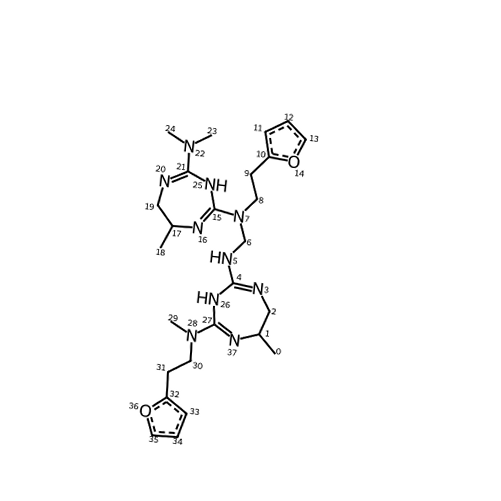 CC1CN=C(NCN(CCc2ccco2)C2=NC(C)CN=C(N(C)C)N2)NC(N(C)CCc2ccco2)=N1